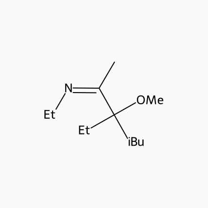 CC/N=C(/C)C(CC)(OC)C(C)CC